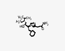 C=C[C@@H](C[C@H](O)[C@H](CC1CCCCC1)n1cnc(CCC(N)=O)c1)C(C)C